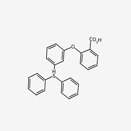 O=C(O)c1ccccc1Oc1cccc([SH](c2ccccc2)c2ccccc2)c1